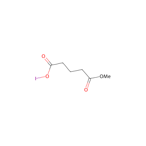 COC(=O)CCCC(=O)OI